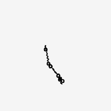 C=CCOCCCCCCCCCOc1ccc(C#CC#Cc2ccc(OOC(=O)C=C)cc2)cc1